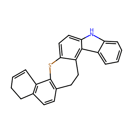 C1=Cc2c(ccc3c2Sc2ccc4[nH]c5ccccc5c4c2CC3)CC1